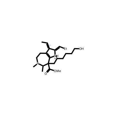 C/C=c1\c2c([nH]c1=CCC)C(C[C@@H](C)CCCCO)(C(=O)OC)C(C)N(C)CC2